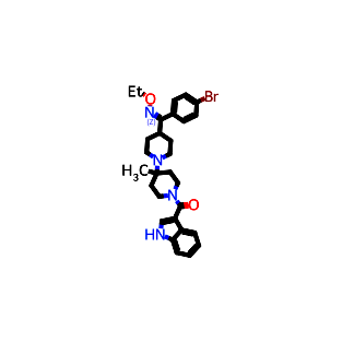 CCO/N=C(\c1ccc(Br)cc1)C1CCN(C2(C)CCN(C(=O)c3c[nH]c4ccccc34)CC2)CC1